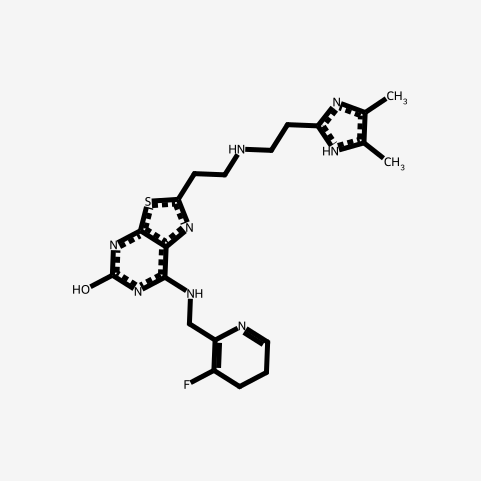 Cc1nc(CCNCCc2nc3c(NCC4=C(F)CCC=N4)nc(O)nc3s2)[nH]c1C